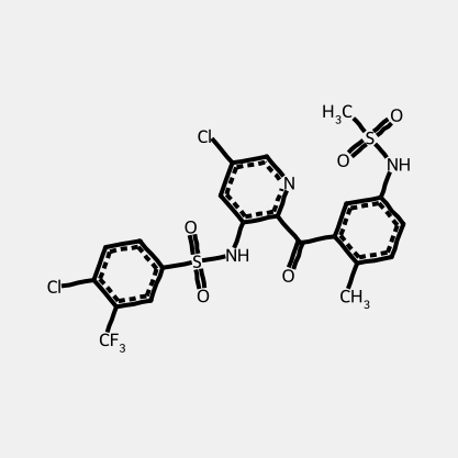 Cc1ccc(NS(C)(=O)=O)cc1C(=O)c1ncc(Cl)cc1NS(=O)(=O)c1ccc(Cl)c(C(F)(F)F)c1